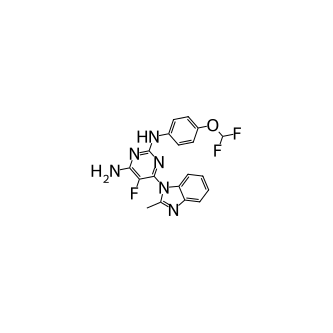 Cc1nc2ccccc2n1-c1nc(Nc2ccc(OC(F)F)cc2)nc(N)c1F